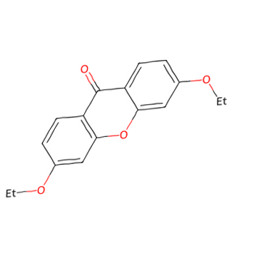 CCOc1ccc2c(=O)c3ccc(OCC)cc3oc2c1